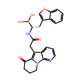 O=C(Cc1c2n(c3ncccc13)CCCC2=O)N[C@@H](Cc1coc2ccccc12)B(O)O